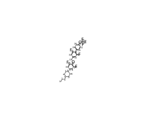 CCCC1CCC(c2cc(F)c(OCc3cc(F)c(-c4ccc(OC(F)(F)F)cc4)c(F)c3)c(F)c2)CC1